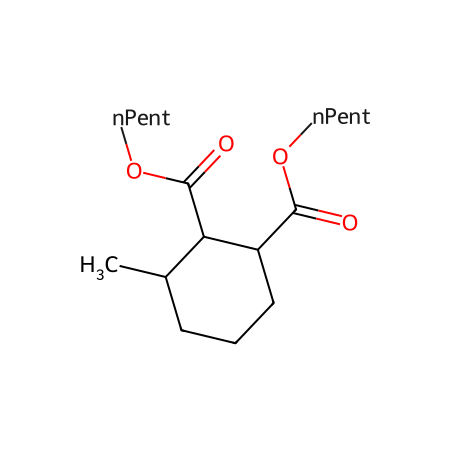 CCCCCOC(=O)C1CCCC(C)C1C(=O)OCCCCC